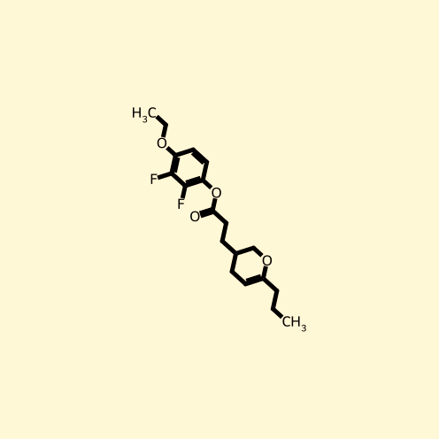 CCCC1=CCC(CCC(=O)Oc2ccc(OCC)c(F)c2F)CO1